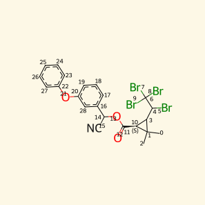 CC1(C)C(C(Br)C(Br)(Br)Br)[C@@H]1C(=O)OC(C#N)c1cccc(Oc2ccccc2)c1